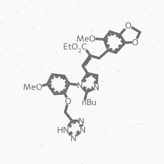 CCCCc1ncc(/C=C(\Cc2cc3c(cc2OC)OCO3)C(=O)OCC)n1-c1ccc(OC)cc1OCc1nnn[nH]1